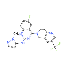 Cn1nccc1Nc1nc(N2CCc3ncc(C(F)(F)F)cc3C2)c2cc(F)ccc2n1